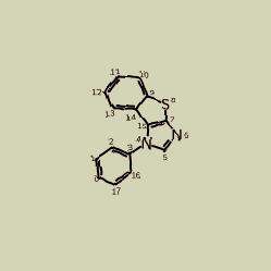 c1ccc(-n2cnc3sc4ccccc4c32)cc1